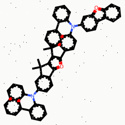 CC1(C)c2cc(N(c3ccccc3)c3ccccc3-c3ccccc3)ccc2-c2oc3c(c21)C(C)(C)c1cc(N(c2ccc4c(c2)oc2ccccc24)c2ccccc2-c2ccccc2)ccc1-3